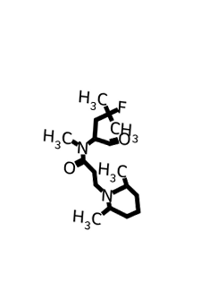 CC1CCCC(C)N1CCC(=O)N(C)C(C=O)CC(C)(C)F